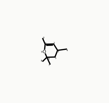 CC1=CC(C)CC(C)(C)O1